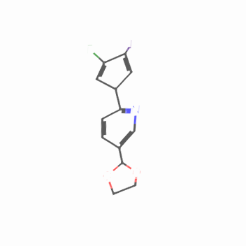 FC1=CC(c2ccc(C3OCCO3)cn2)C=C1I